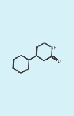 O=C1CC(C2CCCCC2)CCN1